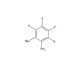 CC(C)(C)c1c(F)c(F)c(F)c(F)c1P